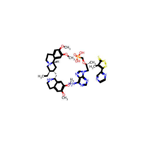 CC[C@H]1CN2CCc3cc(OC)c(OC)cc3[C@@H]2C[C@@H]1C[C@H]1NCCc2cc(OC)c(OC)cc21.C[C@H](Cn1cnc2c(N)ncnc21)OCP(=O)(O)O.Cc1c(-c2cnccn2)ssc1=S